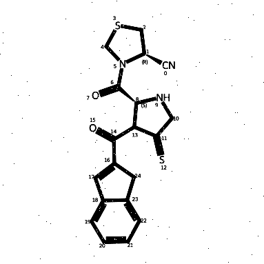 N#C[C@@H]1CSCN1C(=O)[C@H]1NCC(=S)C1C(=O)C1=Cc2ccccc2C1